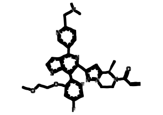 C=CC(=O)N1CCn2nc(-c3nc(-c4ccc(CN(C)C)nc4)c4ccsc4c3-c3c(F)cc(F)cc3OCCOC)cc2[C@H]1C